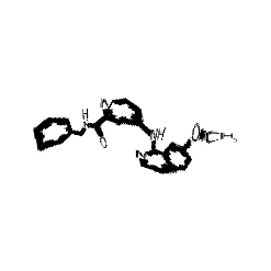 COc1ccc2ccnc(Nc3ccnc(C(=O)NCc4ccccc4)c3)c2c1